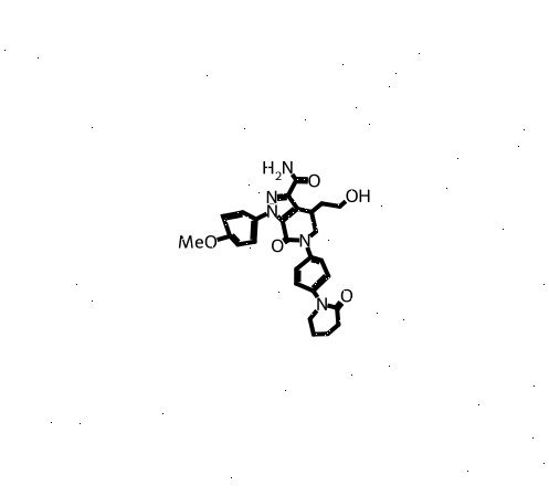 COc1ccc(-n2nc(C(N)=O)c3c2C(=O)N(c2ccc(N4CCCCC4=O)cc2)CC3CCO)cc1